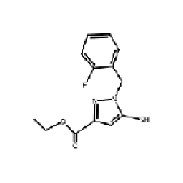 CCOC(=O)c1cc(S)n(Cc2ccccc2F)n1